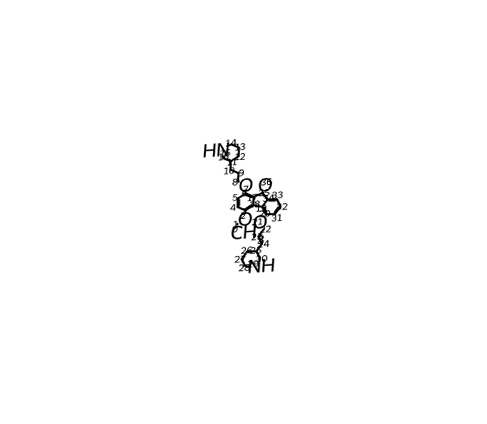 CCOc1ccc(OCCCC2CCCNC2)c2c1-c1c(OCCCC3CCCNC3)cccc1C2=O